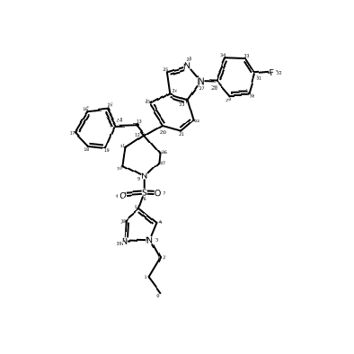 CCCn1cc(S(=O)(=O)N2CCC(Cc3ccccc3)(c3ccc4c(cnn4-c4ccc(F)cc4)c3)CC2)cn1